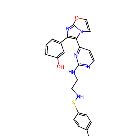 Cc1ccc(SNCCNc2nccc(-c3c(-c4cccc(O)c4)nc4occn34)n2)cc1